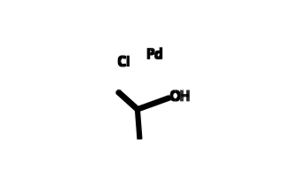 CC(C)O.[C].[Pd]